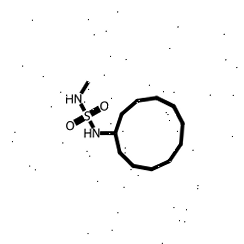 CNS(=O)(=O)NC1CCCCCCCCCC1